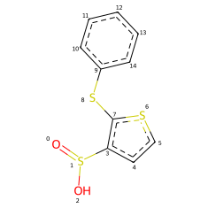 O=S(O)c1ccsc1Sc1ccccc1